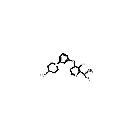 CCC1=C(C(C)N)N=CCC1Oc1cccc(N2CCN(C)CC2)c1